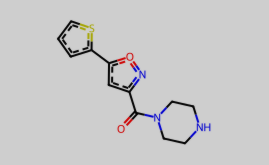 O=C(c1cc(-c2cccs2)on1)N1CCNCC1